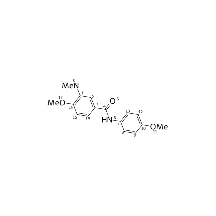 CNc1cc(C(=O)Nc2ccc(OC)cc2)ccc1OC